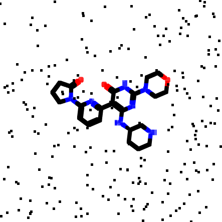 O=C1CCCN1c1cccc(-c2c(N[C@@H]3CCCNC3)nc(N3CCOCC3)[nH]c2=O)n1